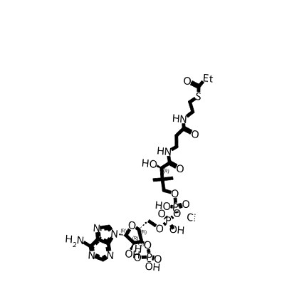 CCC(=O)SCCNC(=O)CCNC(=O)[C@H](O)C(C)(C)COP(=O)(O)OP(=O)(O)OC[C@H]1O[C@@H](n2cnc3c(N)ncnc32)[C@H](O)[C@@H]1OP(=O)(O)O.[C]